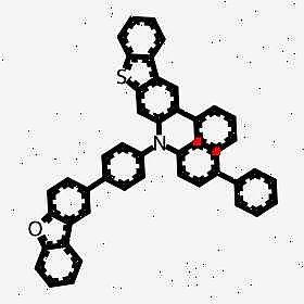 c1ccc(-c2ccc(N(c3ccc(-c4ccc5oc6ccccc6c5c4)cc3)c3cc4sc5ccccc5c4cc3-c3ccccc3)cc2)cc1